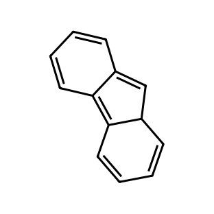 C1=CC2=c3ccccc3=CC2C=C1